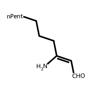 CCCCCCCCC(N)=CC=O